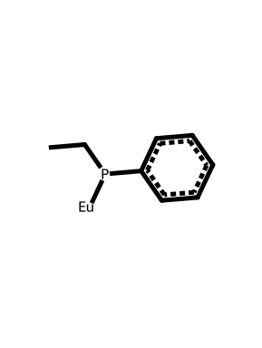 CC[P]([Eu])c1ccccc1